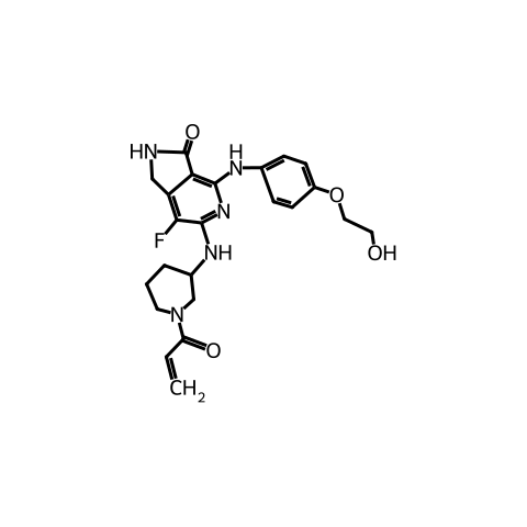 C=CC(=O)N1CCCC(Nc2nc(Nc3ccc(OCCO)cc3)c3c(c2F)CNC3=O)C1